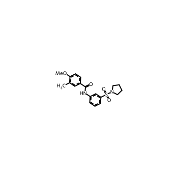 COc1ccc(C(=O)Nc2cccc(S(=O)(=O)N3CCCC3)c2)cc1C